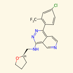 FC(F)(F)c1cc(Cl)ccc1-c1nnc(NC[C@H]2CCCO2)c2cnccc12